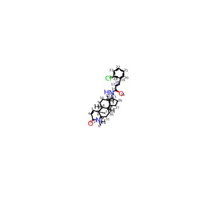 CN1C(=O)C=C[C@]2(C)[C@H]3CC[C@]4(C)[C@@H](NC(=O)/C=C/c5ccccc5Cl)CC[C@H]4[C@@H]3CC[C@@H]12